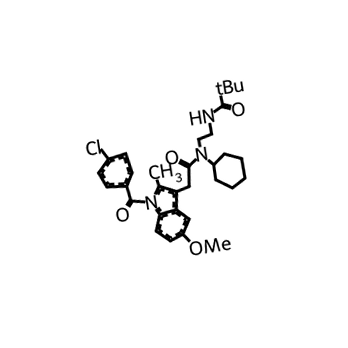 COc1ccc2c(c1)c(CC(=O)N(CCNC(=O)C(C)(C)C)C1CCCCC1)c(C)n2C(=O)c1ccc(Cl)cc1